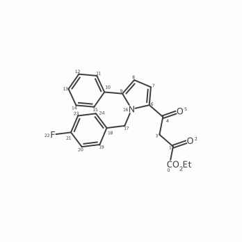 CCOC(=O)C(=O)CC(=O)c1ccc(-c2ccccc2)n1Cc1ccc(F)cc1